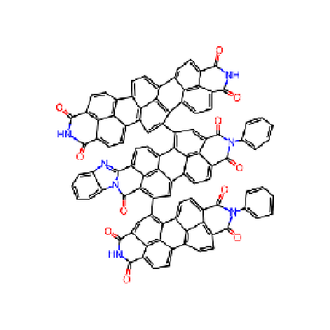 O=C1NC(=O)c2ccc3c4cc(-c5cc6c7c(ccc8c9cc(-c%10cc%11c%12c(ccc%13c%14ccc%15c%16c(ccc(c%10c%12%13)c%16%14)C(=O)N(c%10ccccc%10)C%15=O)C(=O)NC%11=O)c%10c(=O)n%11c%12ccccc%12nc%11c%11ccc(c5c78)c9c%10%11)C(=O)N(c5ccccc5)C6=O)c5c6ccc7c8c(ccc(c9ccc(c%10ccc1c2c%103)c4c95)c86)C(=O)NC7=O